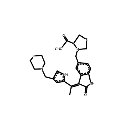 CC(=C1C(=O)Nc2ccc(CN3CSCC3C(=O)C=O)cc21)c1cc(CN2CCOCC2)c[nH]1